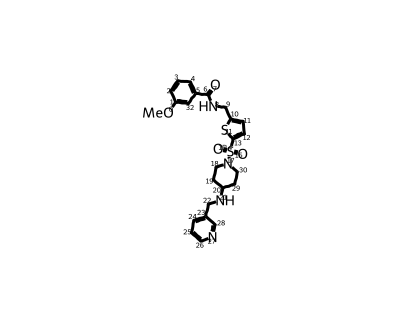 COc1cccc(C(=O)NCc2ccc(S(=O)(=O)N3CCC(NCc4cccnc4)CC3)s2)c1